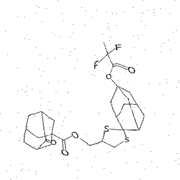 CC(F)(F)C(=O)OC12CC3CC(C1)C1(SCC(COC(=O)C45CC6CC(C4)C(=O)C(C6)C5)S1)C(C3)C2